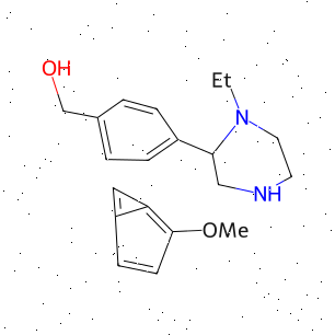 CCN1CCNCC1c1ccc(CO)cc1.COc1ccc2cc1-2